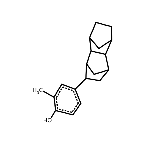 Cc1cc(C2CC3CC2C2C4CCC(C4)C32)ccc1O